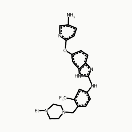 CCN1CCN(Cc2ccc(Nc3nc4ccc(Oc5ccc(N)cn5)cc4[nH]3)cc2C(F)(F)F)CC1